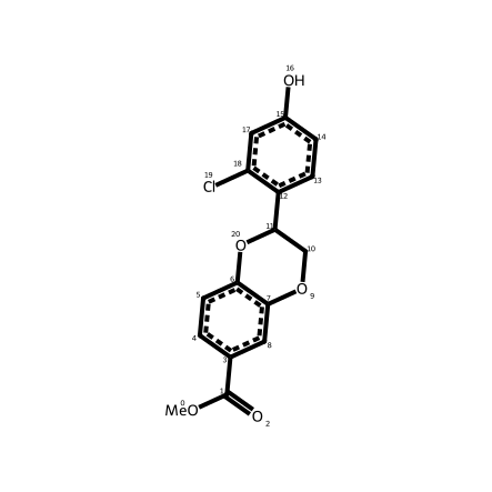 COC(=O)c1ccc2c(c1)OCC(c1ccc(O)cc1Cl)O2